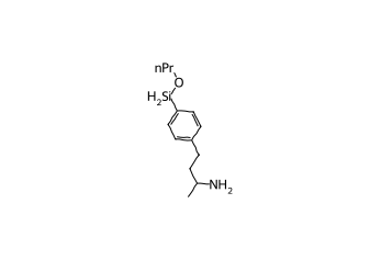 CCCO[SiH2]c1ccc(CCC(C)N)cc1